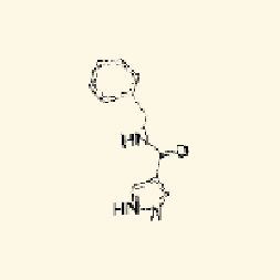 O=C(NCc1ccccc1)c1cn[nH]c1